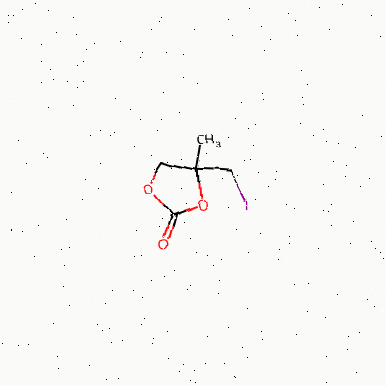 CC1(CI)COC(=O)O1